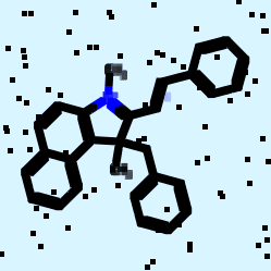 C[N+]1=C(/C=C/c2ccccc2)C(C)(Cc2ccccc2)c2c1ccc1ccccc21